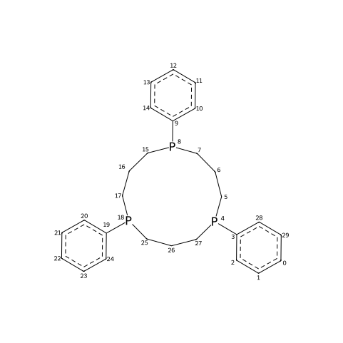 c1ccc(P2CCCP(c3ccccc3)CCCP(c3ccccc3)CCC2)cc1